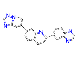 c1cnc2cc(-c3ccc4ccc(-c5ccn6ncnc6c5)cc4n3)ccc2n1